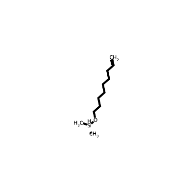 C=CCCCCCCCO[SiH](C)C